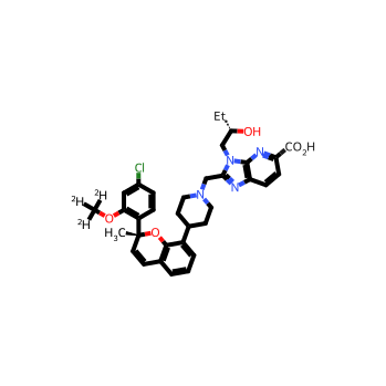 [2H]C([2H])([2H])Oc1cc(Cl)ccc1[C@@]1(C)C=Cc2cccc(C3CCN(Cc4nc5ccc(C(=O)O)nc5n4C[C@@H](O)CC)CC3)c2O1